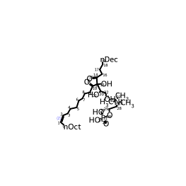 CCCCCCCC/C=C\CCCCCCCC(=O)C(O)(C(=O)CCCCCCCCCCCCC)C(O)CO.C[N+](C)(C)CCOP(=O)(O)O